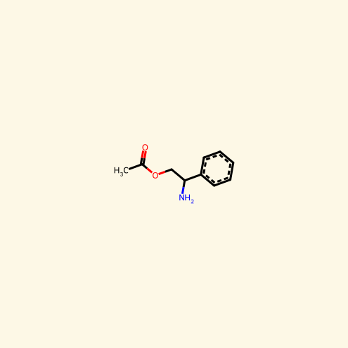 CC(=O)OCC(N)c1ccccc1